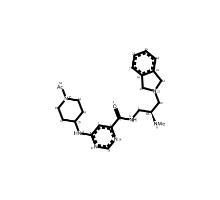 CN[C@@H](CNC(=O)c1cc(NC2CCN(C(C)=O)CC2)ncn1)CN1Cc2ccccc2C1